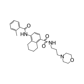 Cc1ccccc1C(=O)Nc1ccc(S(=O)(=O)NCCCN2CCOCC2)c2c1CCCC2